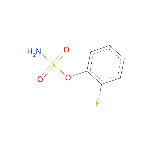 NS(=O)(=O)Oc1ccccc1F